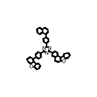 c1ccc2c(-c3ccc(-c4nc(-c5ccc(-c6cccc7oc8ccccc8c67)cc5)nc(-c5ccc6c(ccc7oc8ccccc8c76)c5)n4)cc3)cccc2c1